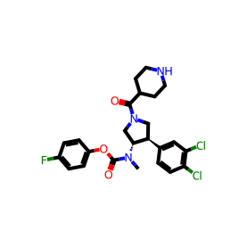 CN(C(=O)Oc1ccc(F)cc1)[C@@H]1CN(C(=O)C2CCNCC2)C[C@H]1c1ccc(Cl)c(Cl)c1